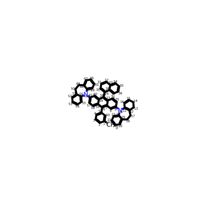 Cc1cccc(-c2c3cc(N4C5=C(CCC=C5)CCc5ccccc54)ccc3c(-c3cccc4ccccc34)c3cc(N4c5ccccc5CCc5ccccc54)ccc23)c1